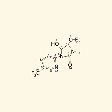 CCOC1C(O)N(c2ccc(C(F)(F)F)cn2)C(=O)N1C